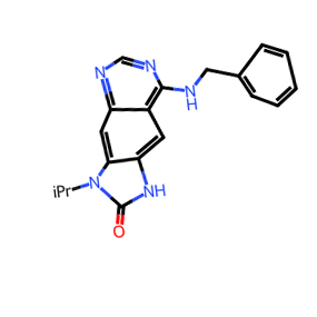 CC(C)n1c(=O)[nH]c2cc3c(NCc4ccccc4)ncnc3cc21